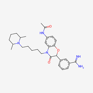 CC(=O)Nc1ccc2c(c1)N(CCCCCN1C(C)CCCC1C)C(=O)C(c1cccc(C(=N)N)c1)O2